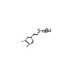 CCCCS/C=C/c1ccc(C)c(C)c1